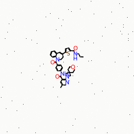 CCCNC(=O)c1ccc(C2=Cc3ccccc3N(C(=O)c3ccc(NC(=O)c4cc(C)cnc4N4CC5(CCOCC5)C4)cc3)CC2)s1